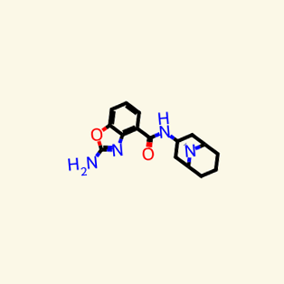 CN1C2CCCC1CC(NC(=O)c1cccc3oc(N)nc13)C2